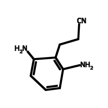 N#CCCc1c(N)cccc1N